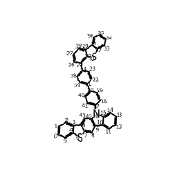 c1ccc2c(c1)sc1cc3c4ccccc4n(-c4ccc(-c5ccc(-c6cccc7c6sc6ccccc67)cc5)cc4)c3cc12